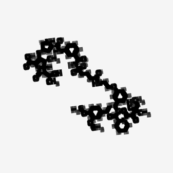 CCC(C)(C)C(=O)C(=O)N1CCCC[C@H]1C(=O)O[C@H](CCc1ccc(OC)c(OC)c1)c1cccc(OCCNC(=O)CCCS(=O)(=O)NC(=O)c2cccc(NC(=O)[C@@H]3C[C@H](SC4=C(C(=O)O)N5C(=O)[C@H]([C@@H](C)O)[C@H]5[C@H]4C)CN3)c2)c1